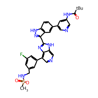 CC(C)(C)C(=O)Nc1cncc(-c2ccc3[nH]nc(-c4nc5c(-c6cc(F)cc(CNS(C)(=O)=O)c6)cncc5[nH]4)c3c2)c1